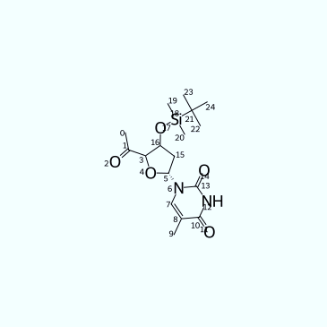 CC(=O)C1O[C@@H](n2cc(C)c(=O)[nH]c2=O)CC1O[Si](C)(C)C(C)(C)C